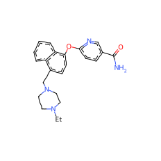 CCN1CCN(Cc2ccc(Oc3ccc(C(N)=O)cn3)c3ccccc23)CC1